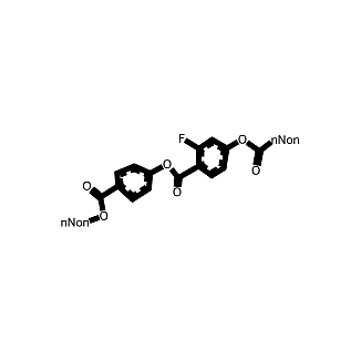 CCCCCCCCCOC(=O)c1ccc(OC(=O)c2ccc(OC(=O)CCCCCCCCC)cc2F)cc1